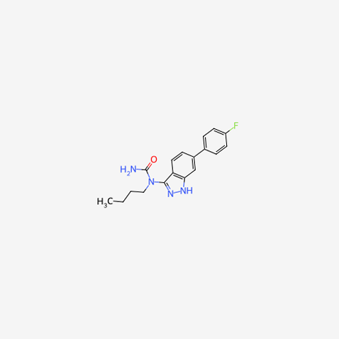 CCCCN(C(N)=O)c1n[nH]c2cc(-c3ccc(F)cc3)ccc12